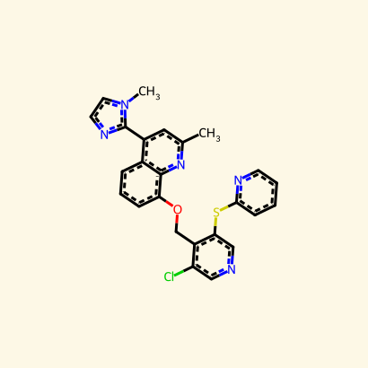 Cc1cc(-c2nccn2C)c2cccc(OCc3c(Cl)cncc3Sc3ccccn3)c2n1